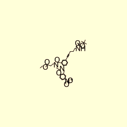 CCOC(=O)CCN1CC(=O)N(Cc2cccc([N+](=O)[O-])c2)c2ccc(C#CCCCNC(=O)OC(C)(C)C)cc2C1=O